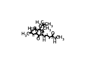 CNC(=O)CCNNC(=O)C(CC(C)C)N(C)C(=O)OC(C)(C)C